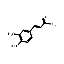 C=C(C)/C=C/c1ccc(C(=O)O)c(C)c1